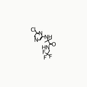 CC(C)(Nc1cncc(Cl)n1)C(=O)NCC(F)(F)F